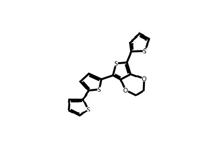 c1csc(-c2ccc(-c3sc(-c4cccs4)c4c3OCCO4)s2)c1